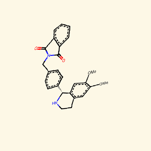 COc1cc2c(cc1OC)[C@@H](c1ccc(CN3C(=O)c4ccccc4C3=O)cc1)NCC2